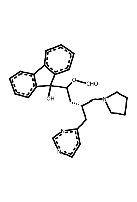 O=COC(C[C@@H](Cc1ccncn1)CN1CCCC1)C1(O)c2ccccc2-c2ccccc21